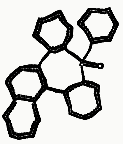 O=P1(c2ccccc2)c2ccccc2-c2ccc3ccccc3c2-c2ccccc21